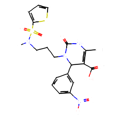 CC1=C(C(=O)O)C(c2cccc([N+](=O)[O-])c2)N(CCCN(C)S(=O)(=O)c2cccs2)C(=O)N1